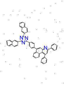 c1ccc(-c2cc(-c3ccccc3)c3c(cc(-c4ccc(-c5nc(-c6ccc7ccccc7c6)nc(-c6ccc7ccccc7c6)n5)cc4)c4ccccc43)n2)cc1